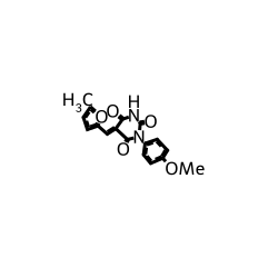 COc1ccc(N2C(=O)NC(=O)/C(=C\c3ccc(C)o3)C2=O)cc1